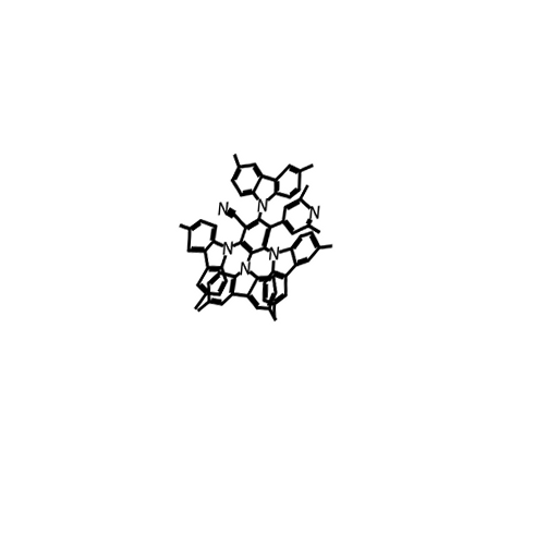 Cc1ccc2c(c1)c1cc(C)ccc1n2-c1c(C#N)c(-n2c3ccc(C)cc3c3cc(C)ccc32)c(-n2c3ccc(C)cc3c3cc(C)ccc32)c(-n2c3ccc(C)cc3c3cc(C)ccc32)c1-c1cc(C)nc(C)c1